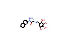 NN(C(=O)CN=Cc1cc(Br)c(O)c(Br)c1O)c1ccc2ccccc2c1